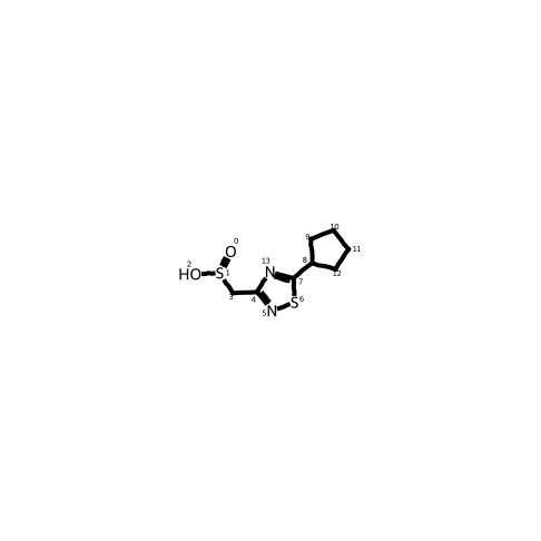 O=S(O)Cc1nsc(C2CCCC2)n1